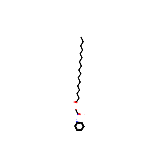 CCCCCCCCCCCCCCCCCC(=O)OCC(=O)Nc1ccccc1